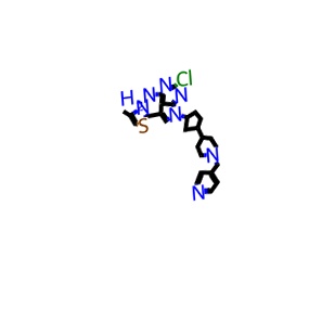 Cc1csc(-c2cn(C3CCC(C4CCN(Cc5ccncc5)CC4)C3)c3nc(Cl)nc(N)c23)n1